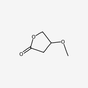 COC1COC(=O)C1